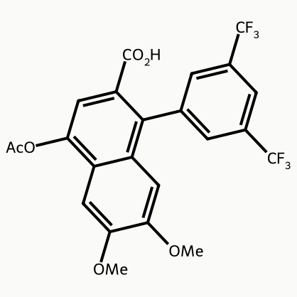 COc1cc2c(OC(C)=O)cc(C(=O)O)c(-c3cc(C(F)(F)F)cc(C(F)(F)F)c3)c2cc1OC